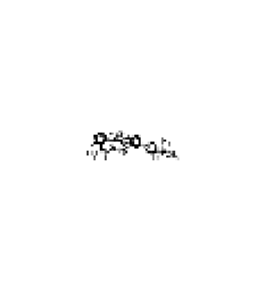 C[C@H](NC1=NS(=O)(=O)[C@H](Cc2ccc(N3CCN(C(C)(C)C)CC3)cc2)C(C)(C)O1)c1ccccc1F